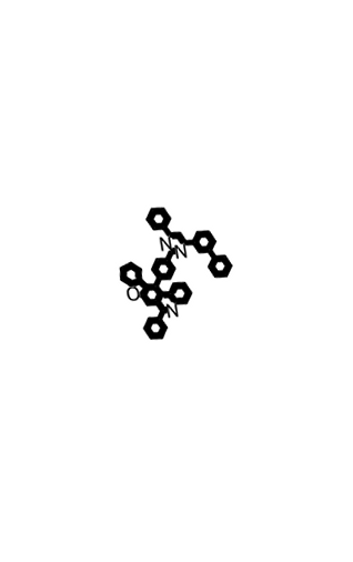 c1ccc(-c2cccc(-c3cc(-c4ccccc4)nc(-c4ccc(-c5c6c(cc7c(-c8ccccc8)nc8ccccc8c57)oc5ccccc56)cc4)n3)c2)cc1